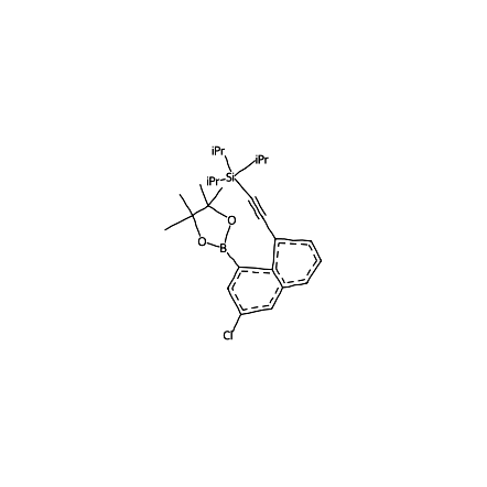 CC(C)[Si](C#Cc1cccc2cc(Cl)cc(B3OC(C)(C)C(C)(C)O3)c12)(C(C)C)C(C)C